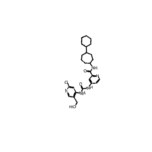 O=C(Nc1ccnc(C(=O)NC2CCCC(C3CCCCC3)CC2)c1)Nc1cc(Cl)ncc1CO